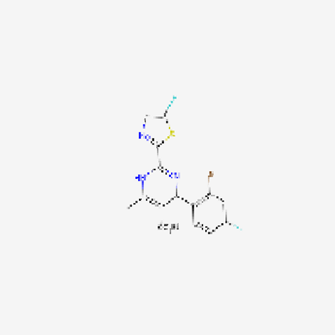 CCOC(=O)C1=C(C)NC(c2ncc(F)s2)=NC1c1ccc(F)cc1Br